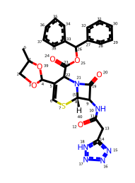 CC1COC(C2=CS[C@H]3C(NC(=O)Cc4nnn[nH]4)C(=O)N3C2C(=O)OC(c2ccccc2)c2ccccc2)O1